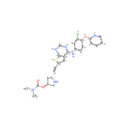 CN(C)C(=O)O[C@@H]1CN[C@@H](C#Cc2cc3c(Nc4ccc(Oc5ccccn5)c(Cl)c4)ncnc3s2)C1